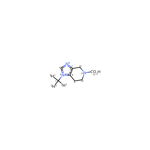 [2H]C([2H])([2H])n1cnc2c1CCN(C(=O)O)C2